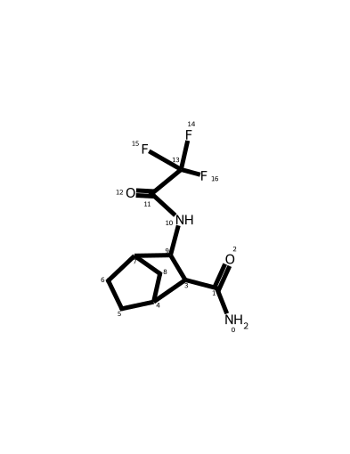 NC(=O)C1C2CCC(C2)C1NC(=O)C(F)(F)F